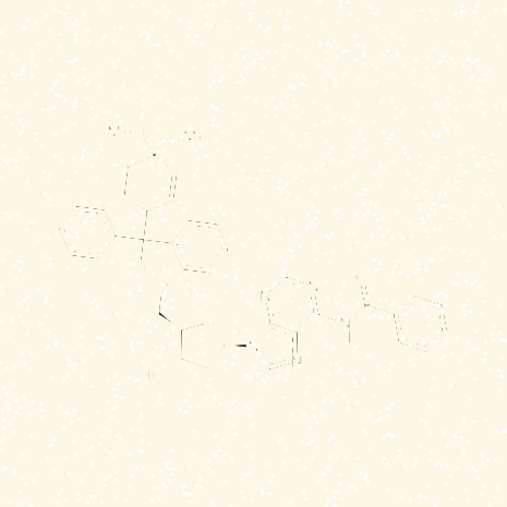 COC1(OC)C=CC(C(OOC[C@H]2O[C@@H](n3cnc4c(NC(=O)c5ccccc5)ncnc43)C[C@@H]2O)(c2ccccc2)c2ccccc2)=CC1